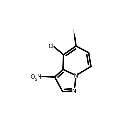 O=[N+]([O-])c1cnn2ccc(I)c(Cl)c12